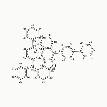 c1ccc(-c2ccc(-c3c4ccccc4cc4c3oc3cccc(N(c5ccccc5)c5ccc(-c6ccccc6)cc5)c34)cc2)cc1